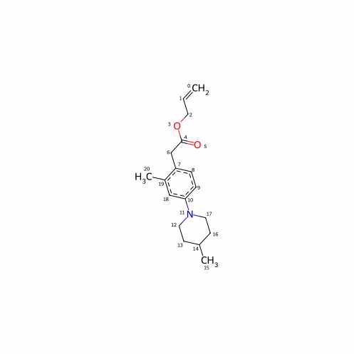 C=CCOC(=O)Cc1ccc(N2CCC(C)CC2)cc1C